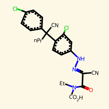 CCCC(C#N)(c1ccc(Cl)cc1)c1ccc(N/N=C(\C#N)C(=O)N(CC)C(=O)O)cc1Cl